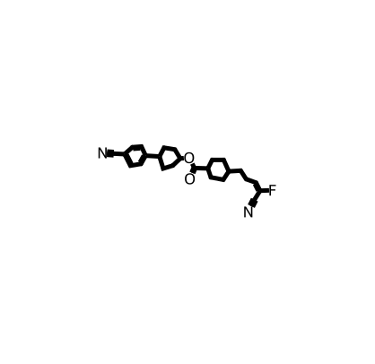 N#C/C(F)=C\CCC1CCC(C(=O)OC2CCC(c3ccc(C#N)cc3)CC2)CC1